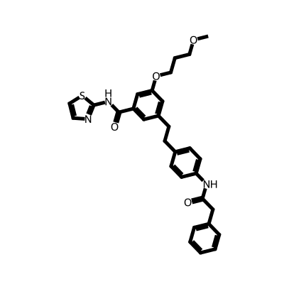 COCCCOc1cc(CCc2ccc(NC(=O)Cc3ccccc3)cc2)cc(C(=O)Nc2nccs2)c1